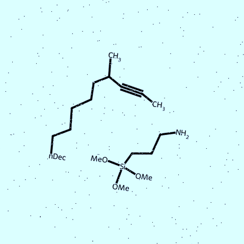 CC#CC(C)CCCCCCCCCCCCCCC.CO[Si](CCCN)(OC)OC